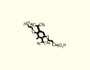 Cc1c(OCCO)c(=C(C#N)C#N)cc(OCCOS(=O)(=O)O)c1=C(C#N)C#N